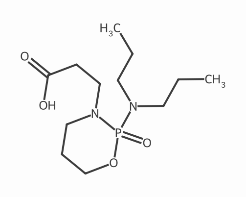 CCCN(CCC)P1(=O)OCCCN1CCC(=O)O